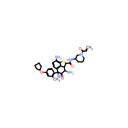 C=CC(=O)N1CCCC(NC(=O)C2Sc3c(N)ccc4c3C2C(N)C(=O)C4(N)c2ccc(OC3CCCC3)cc2C)C1